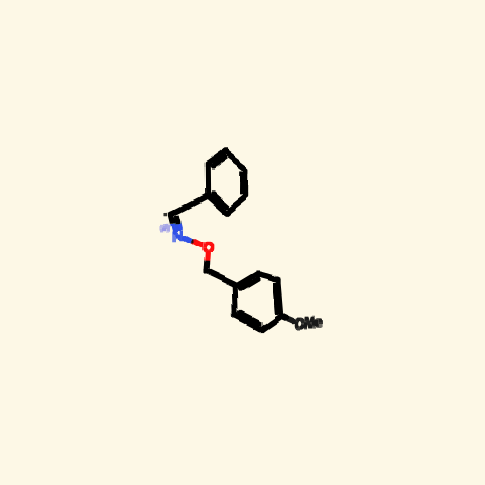 COc1ccc(CO/N=[C]\c2ccccc2)cc1